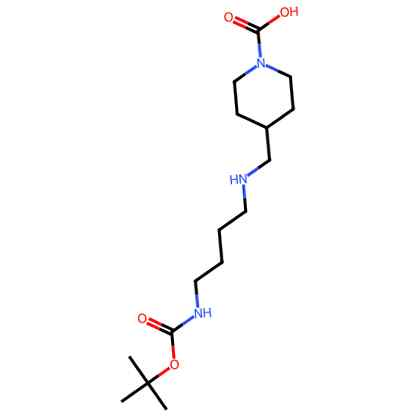 CC(C)(C)OC(=O)NCCCCNCC1CCN(C(=O)O)CC1